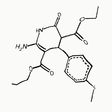 CCOC(=O)C1=C(N)NC(=O)C(C(=O)OCC)C1c1ccc(SC)cc1